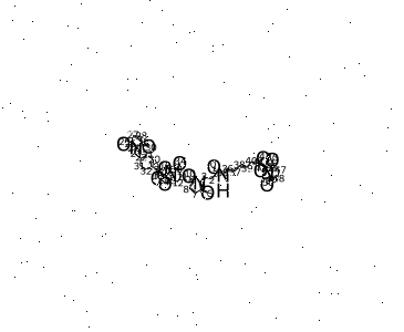 O=C(CCN1C(=O)C=CC1OC1CC(=O)N(OC(=O)C2CCC(CN3C(=O)C=CC3=O)CC2)C1=O)NCCCCCC(=O)ON1C(=O)CCC1=O